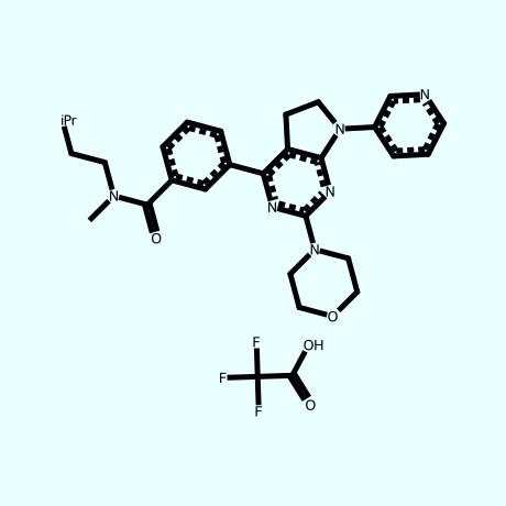 CC(C)CCN(C)C(=O)c1cccc(-c2nc(N3CCOCC3)nc3c2CCN3c2cccnc2)c1.O=C(O)C(F)(F)F